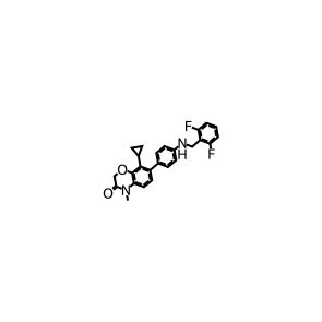 CN1C(=O)COc2c1ccc(-c1ccc(NCc3c(F)cccc3F)cc1)c2C1CC1